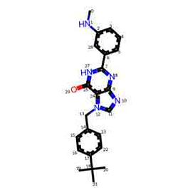 CNc1cccc(-c2nc3ncn(Cc4ccc(C(C)(C)C)cc4)c3c(=O)[nH]2)c1